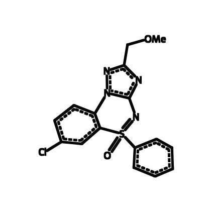 COCc1nc2n(n1)-c1ccc(Cl)cc1S(=O)(c1ccccc1)=N2